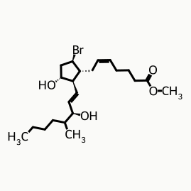 CCCCC(C)[C@H](O)/C=C/[C@@H]1[C@@H](C/C=C\CCCC(=O)OC)[C@H](Br)C[C@H]1O